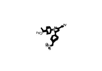 CC(O)c1ccc(-n2nc(C#N)cc2-c2ccc(C[SH](=O)=O)cc2)cc1